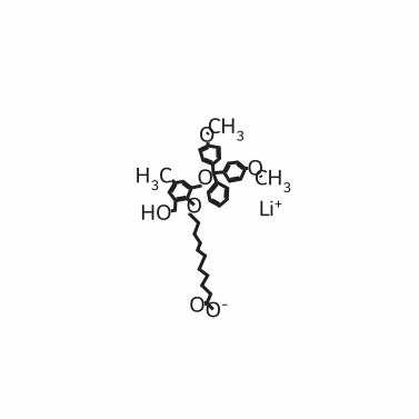 COc1ccc(C(OCc2cc(C)cc(CO)c2OCCCCCCCCCCC(=O)[O-])(c2ccccc2)c2ccc(OC)cc2)cc1.[Li+]